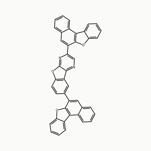 c1ccc2c(c1)cc(-c1ccc3oc4nc(-c5cc6ccccc6c6c5oc5ccccc56)cnc4c3c1)c1oc3ccccc3c12